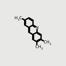 Cc1ccc2nc3cc(C)c(C)cc3cc2c1